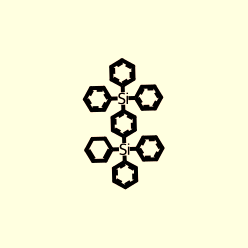 C1=CCCC([Si](c2ccccc2)(c2ccccc2)c2ccc([Si](c3ccccc3)(c3ccccc3)c3ccccc3)cc2)=C1